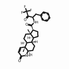 C[C@]12C=CC(=O)N[C@@H]1CC[C@@H]1[C@@H]2CC[C@]2(C)[C@@H](C(=O)NC(Cc3ccccc3)C(=O)C(F)(F)F)CC[C@@H]12